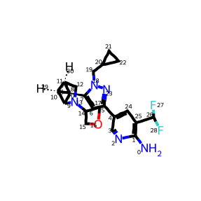 Nc1ncc(-c2cc([C@@]34C5[C@H]3[C@H]4CN5C3COC3)n(CC3CC3)n2)cc1C(F)F